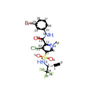 C#C[C@@H](NS(=O)(=O)c1cn(C)c(C(=O)Nc2cccc(Br)c2)c1Cl)C(F)(F)F